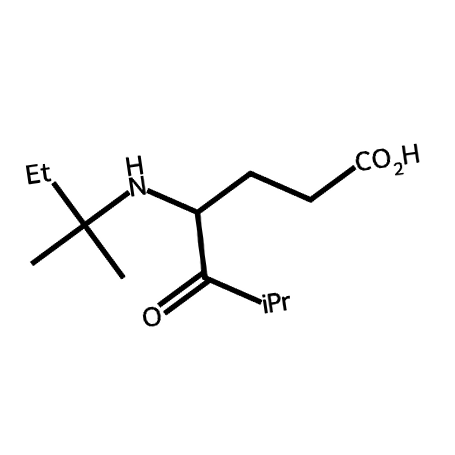 CCC(C)(C)NC(CCC(=O)O)C(=O)C(C)C